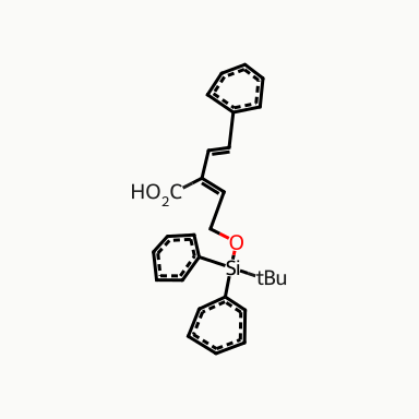 CC(C)(C)[Si](OCC=C(C=Cc1ccccc1)C(=O)O)(c1ccccc1)c1ccccc1